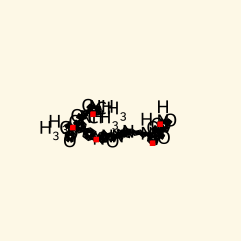 CCN(c1cc(-c2ccc(CN3CCN(CC(=O)N4CC5(CN(CCCCNc6cccc7c6C(=O)N(C6CCC(=O)NC6=O)C7=O)C5)C4)CC3)cc2)cc(C(=O)NCc2c(C)cc(C)[nH]c2=O)c1C)C1CCOCC1